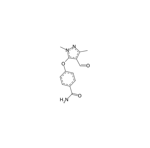 Cc1nn(C)c(Oc2ccc(C(N)=O)cc2)c1C=O